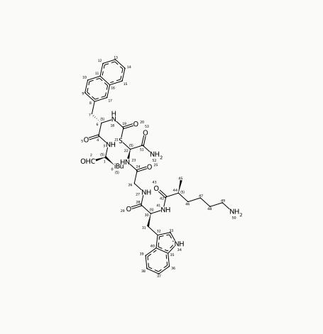 CC[C@H](C)[C@@H](C=O)NC(=O)[C@H](Cc1ccc2ccccc2c1)NC(=O)S[C@H](NC(=O)CNC(=O)[C@H](Cc1c[nH]c2ccccc12)NC(=O)[C@@H](C)CCCCN)C(N)=O